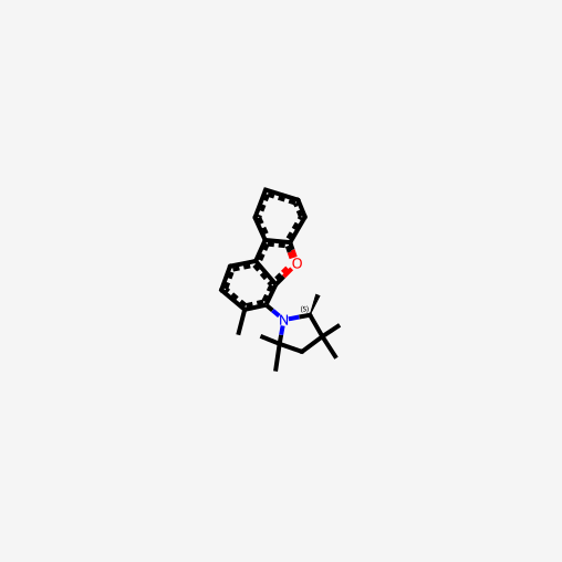 Cc1ccc2c(oc3ccccc32)c1N1[C@@H](C)C(C)(C)CC1(C)C